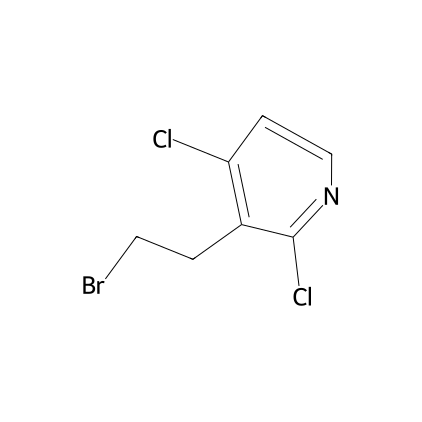 Clc1ccnc(Cl)c1CCBr